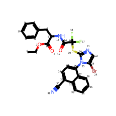 CCOC(=O)C(Cc1ccccc1)NC(=O)C(F)(F)Sc1ncc(Br)n1-c1ccc(C#N)c2ccccc12